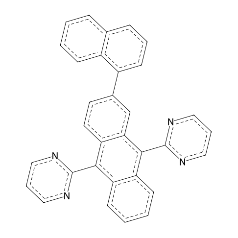 c1cnc(-c2c3ccccc3c(-c3ncccn3)c3cc(-c4cccc5ccccc45)ccc23)nc1